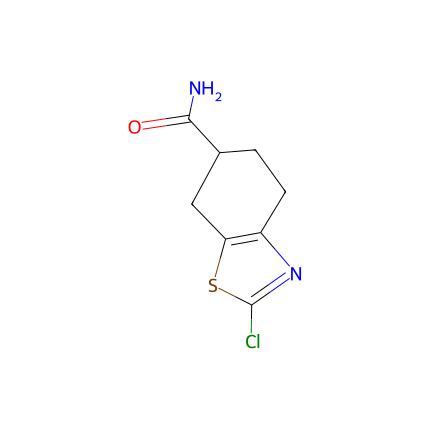 NC(=O)C1CCc2nc(Cl)sc2C1